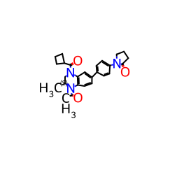 CC(=O)N1c2ccc(-c3ccc(N4CCCC4=O)cc3)cc2N(C(=O)C2CCC2)C[C@@H]1C